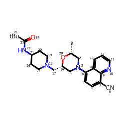 C[C@@H]1CN(c2ccc(C#N)c3ncccc23)C[C@H](CN2CCC(NC(=O)C(C)(C)C)CC2)O1